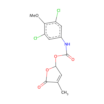 COc1c(Cl)cc(NC(=O)OC2C=C(C)C(=O)O2)cc1Cl